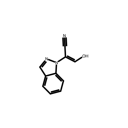 N#CC(=CO)n1ncc2ccccc21